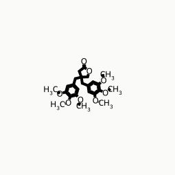 COc1cc(CC2(Cc3cc(OC)c(OC)c(OC)c3)COC(=O)C2)cc(OC)c1OC